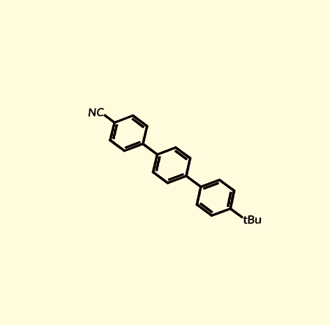 CC(C)(C)c1ccc(-c2ccc(-c3ccc(C#N)cc3)cc2)cc1